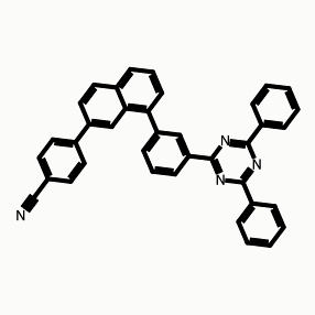 N#Cc1ccc(-c2ccc3cccc(-c4cccc(-c5nc(-c6ccccc6)nc(-c6ccccc6)n5)c4)c3c2)cc1